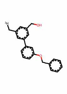 [2H]Cc1cc(CO)cc(-c2cccc(OCc3ccccc3)c2)c1